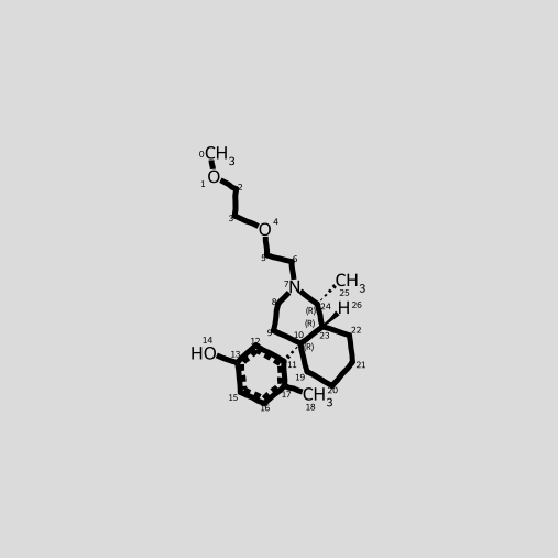 COCCOCCN1CC[C@]2(c3cc(O)ccc3C)CCCC[C@H]2[C@H]1C